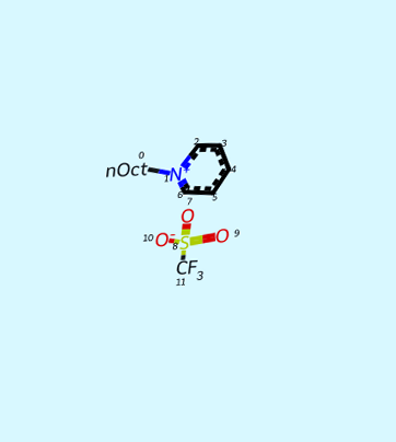 CCCCCCCC[n+]1ccccc1.O=S(=O)([O-])C(F)(F)F